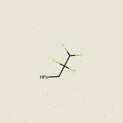 FC(F)C(F)(F)[CH2][PoH]